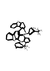 CC(C)(C)c1ccc(N2B3c4cccc5c4N(c4ccccc4C5(C)C)c4c3c(cc3c4oc4ccccc43)-c3c2ccc2oc4ccccc4c32)cc1